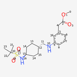 COC(=O)Cc1cccc(NC[C@H]2CC[C@H](NS(=O)(=O)C(C)(C)C)CC2)c1